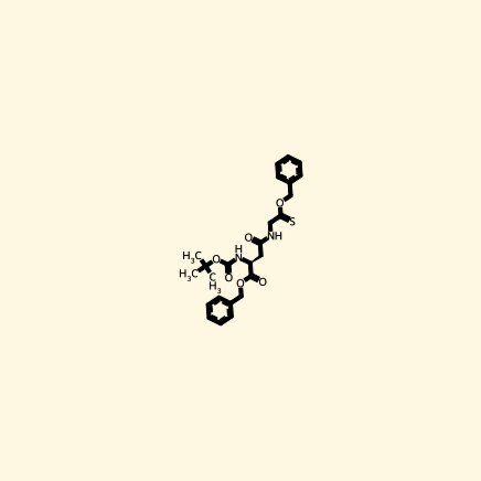 CC(C)(C)OC(=O)N[C@@H](CC(=O)NCC(=S)OCc1ccccc1)C(=O)OCc1ccccc1